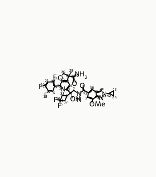 COc1cc(C(=O)NC[C@](O)(c2cc3c(c(-c4cc(F)c(F)cc4F)n2)OC[C@]3(C)C(N)=O)C2CC(F)(F)C2)cc2cn(C3CC3)nc12